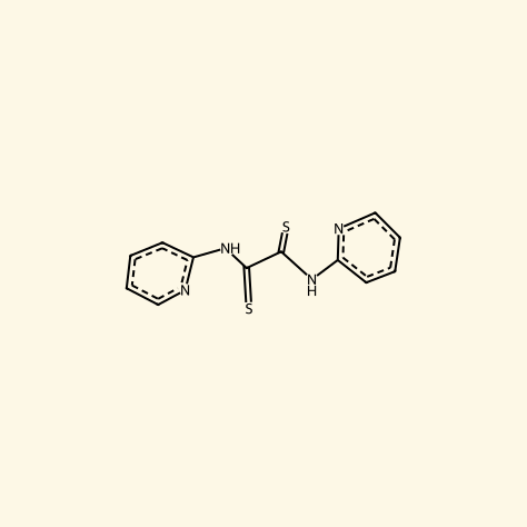 S=C(Nc1ccccn1)C(=S)Nc1ccccn1